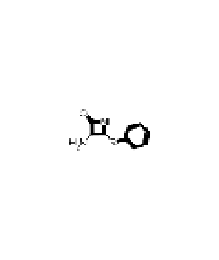 N[C@@H]1C(=O)N[C@H]1Sc1ccccc1